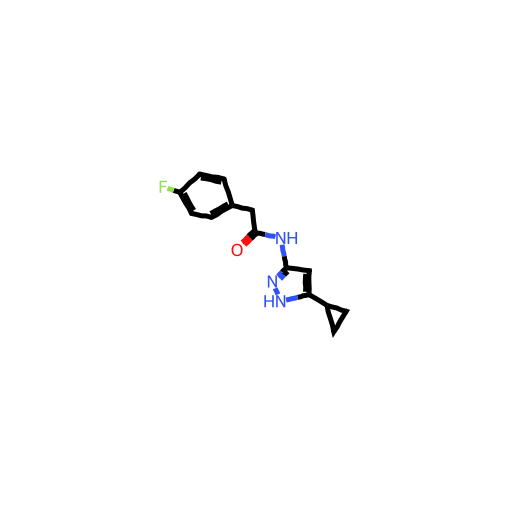 O=C(Cc1ccc(F)cc1)Nc1cc(C2CC2)[nH]n1